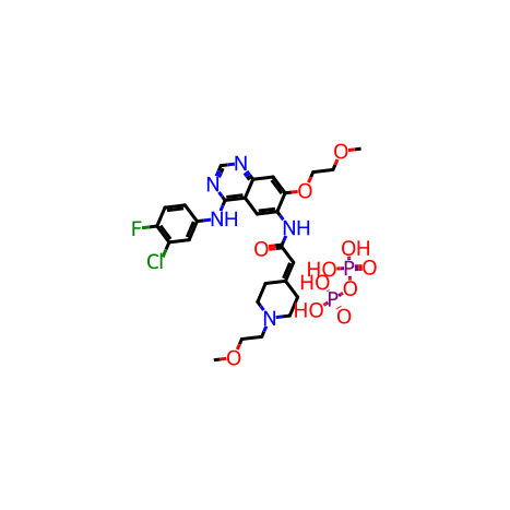 COCCOc1cc2ncnc(Nc3ccc(F)c(Cl)c3)c2cc1NC(=O)C=C1CCN(CCOC)CC1.O=P(O)(O)OP(=O)(O)O